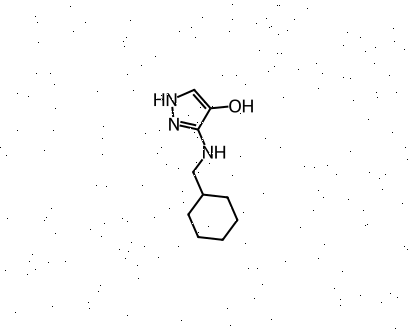 Oc1c[nH]nc1NCC1CCCCC1